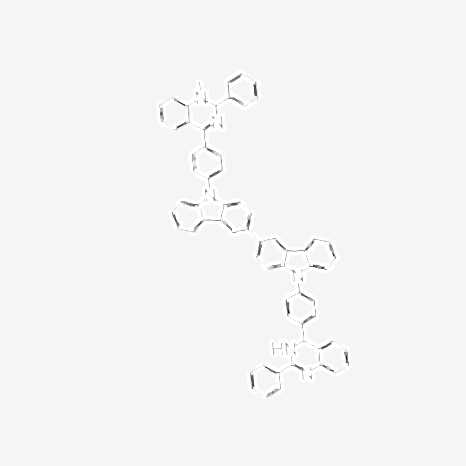 CN1c2ccccc2C(c2ccc(-n3c4ccccc4c4cc(-c5ccc6c(c5)c5ccccc5n6-c5ccc(C6NC(c7ccccc7)=Nc7ccccc76)cc5)ccc43)cc2)=NC1c1ccccc1